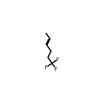 C/[C]=C/CCC(F)(F)F